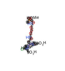 COC(=O)c1ccc(C(=O)NCCCOCCOCCOCCCNC(=O)CCc2cccc(C(=C\C=C3/N(CCCS(=O)(=O)O)c4ccc(S(=O)(=O)O)cc4C3(C)C)/C=C/C3=Nc4c(cc(Cl)c[n+]4CCCS(=O)(=O)O)C3(C)C)c2)cc1P(c1ccccc1)c1ccccc1